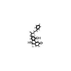 CC(CCCc1ccccc1)Oc1cc(O)c2c(c1)N[C@@H](C)C1CCC(=O)C=C21